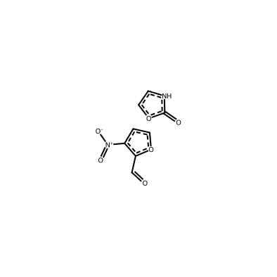 O=Cc1occc1[N+](=O)[O-].O=c1[nH]cco1